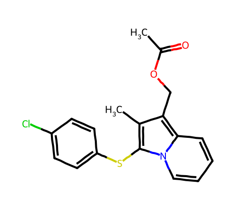 CC(=O)OCc1c(C)c(Sc2ccc(Cl)cc2)n2ccccc12